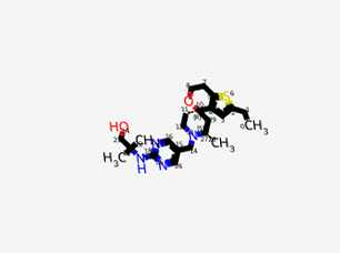 CCc1cc2c(s1)CCO[C@@]21CCN(Cc2cnc(NC(C)(C)CO)nc2)[C@@H](C)C1